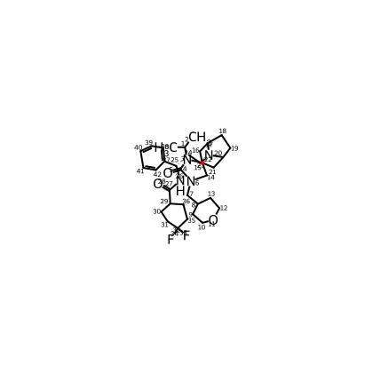 CC(C)N1C(=O)N(CC2CCOCC2)CC12CC1CCC(C2)N1CC[C@H](NC(=O)C1CCC(F)(F)CC1)c1ccccc1